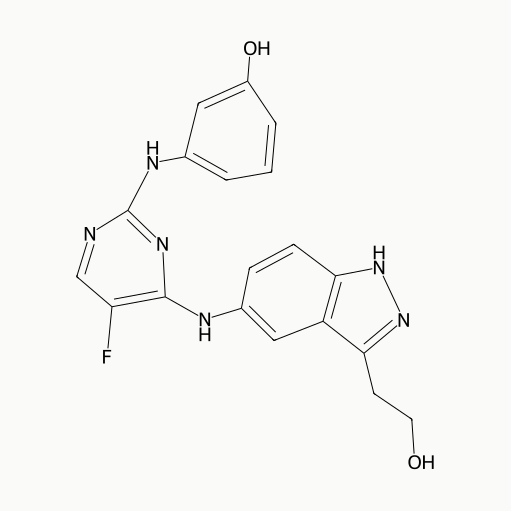 OCCc1n[nH]c2ccc(Nc3nc(Nc4cccc(O)c4)ncc3F)cc12